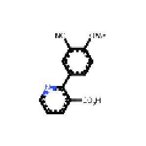 COc1ccc(-c2ncccc2C(=O)O)cc1C#N